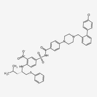 CC(C)C[C@@H](CSc1ccccc1)Nc1ccc(S(=O)(=O)NC(=O)c2ccc(N3CCN(Cc4ccccc4-c4ccc(Cl)cc4)CC3)cc2)cc1[N+](=O)[O-]